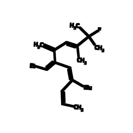 C=C(/C=C(\C)C(C)(C)F)C(=C\CC)/C=C(\C=C/C)C(C)(C)C